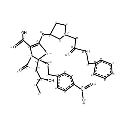 CC[C@H](O)[C@@H]1C(=O)N2C(C(=O)O)=C(SC3CCN(CC(=O)NCc4ccccc4)C3)S[C@]12SCc1ccc([N+](=O)[O-])cc1